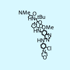 CNC(C)C(=O)NC(C(=O)N1CCCC1C(=O)Nc1cc2c(Nc3ccc(N4CCOCC4)c(Cl)c3)ncnc2cc1OC)C(C)(C)C